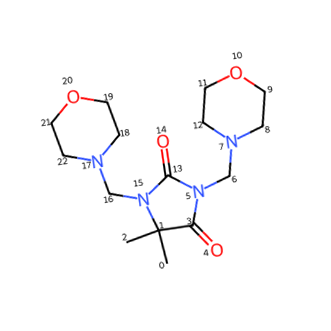 CC1(C)C(=O)N(CN2CCOCC2)C(=O)N1CN1CCOCC1